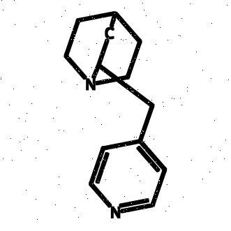 c1cc(CC2CC3CCN2CC3)ccn1